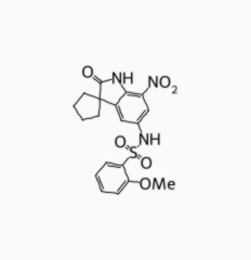 COc1ccccc1S(=O)(=O)Nc1cc([N+](=O)[O-])c2c(c1)C1(CCCC1)C(=O)N2